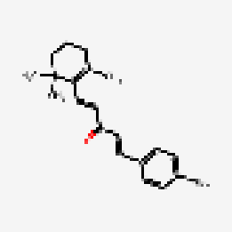 CC1=C(/C=C/C(=O)/C=C/c2ccc(C(C)(C)C)cc2)C(C)(C)CCC1